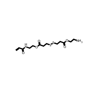 C=CC(=O)NCCOC(=O)CCSSCCC(=O)OCCN